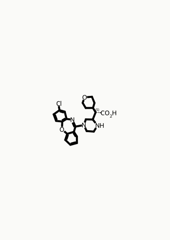 O=C(O)[C@@H](C1CCOCC1)C1CN(C2=Nc3cc(Cl)ccc3Oc3ccccc32)CCN1